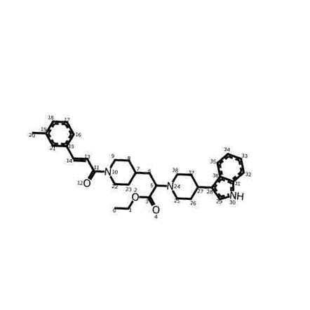 CCOC(=O)C(CC1CCN(C(=O)/C=C/c2cccc(C)c2)CC1)N1CCC(c2c[nH]c3ccccc23)CC1